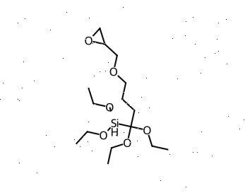 CCO[SiH](OCC)C(CCCOCC1CO1)(OCC)OCC